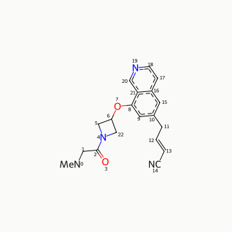 CNCC(=O)N1CC(Oc2cc(C/C=C/C#N)cc3ccncc23)C1